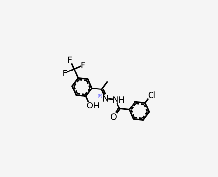 C/C(=N\NC(=O)c1cccc(Cl)c1)c1cc(C(F)(F)F)ccc1O